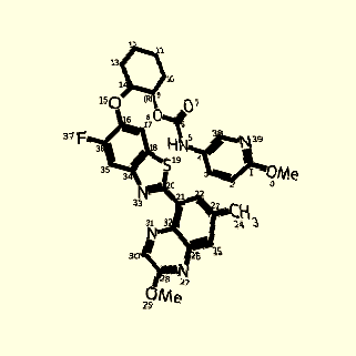 COc1ccc(NC(=O)O[C@@H]2CCCCC2Oc2cc3sc(-c4cc(C)cc5nc(OC)cnc45)nc3cc2F)cn1